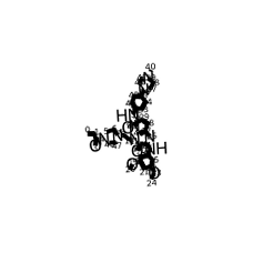 C=CC(=O)N1CCN(C(=O)Cn2c(=O)c(Nc3cc(OC)cc(OC)c3)nc3ccc(Nc4ccc(N5CCN(C)CC5)cc4)nc32)CC1